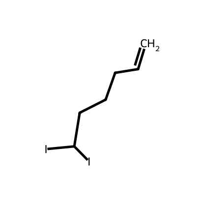 C=CCCCC(I)I